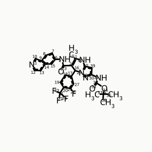 CC1=C(C(=O)Nc2ccc3cnccc3c2)C(c2ccc(C(F)(F)F)c(F)c2)n2nc(NC(=O)OC(C)(C)C)cc2N1